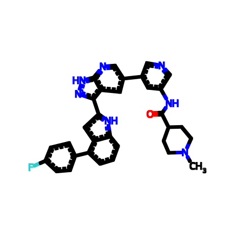 CN1CCC(C(=O)Nc2cncc(-c3cnc4[nH]nc(-c5cc6c(-c7ccc(F)cc7)cccc6[nH]5)c4c3)c2)CC1